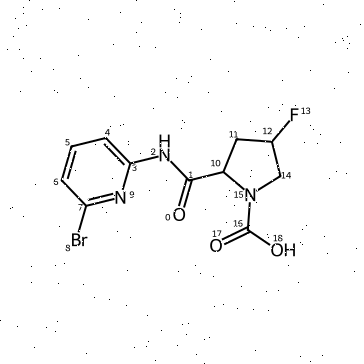 O=C(Nc1cccc(Br)n1)C1CC(F)CN1C(=O)O